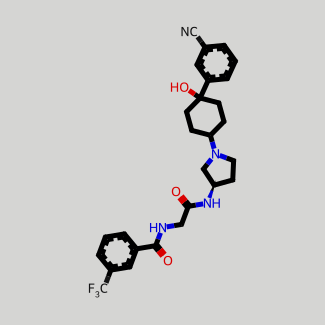 N#Cc1cccc(C2(O)CCC(N3CC[C@@H](NC(=O)CNC(=O)c4cccc(C(F)(F)F)c4)C3)CC2)c1